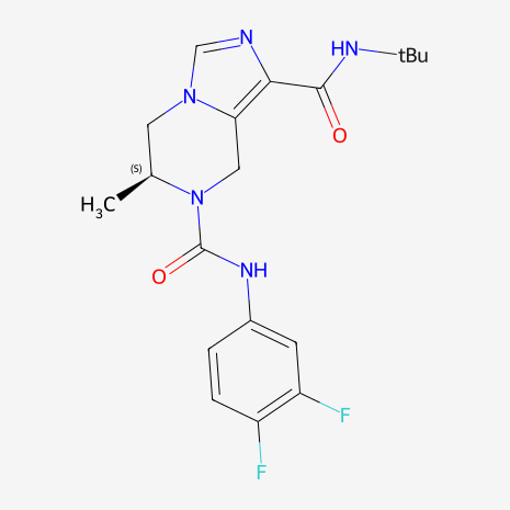 C[C@H]1Cn2cnc(C(=O)NC(C)(C)C)c2CN1C(=O)Nc1ccc(F)c(F)c1